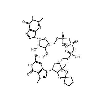 COC1[C@@H](COP(=O)(O)OP(=O)(O)OP(=O)(O)OC[C@H]2O[C@@H](n3c[n+](C)c4c(=O)[nH]c(N)nc43)C3OC4(CCCC4)O[C@H]32)O[C@@H](n2cnc3c(=O)[nH]c(C)nc32)[C@H]1O